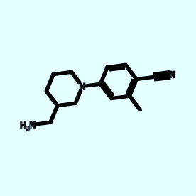 Cc1cc(N2CCCC(CN)C2)ccc1C#N